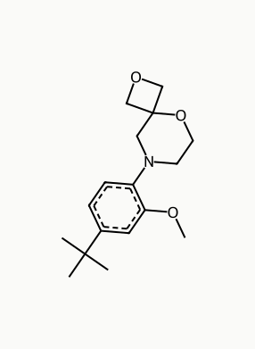 COc1cc(C(C)(C)C)ccc1N1CCOC2(COC2)C1